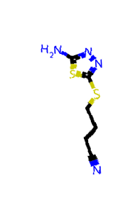 N#CCCCSc1nnc(N)s1